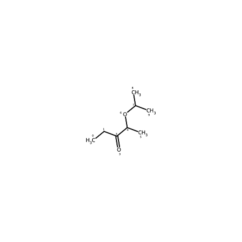 CCC(=O)C(C)OC(C)C